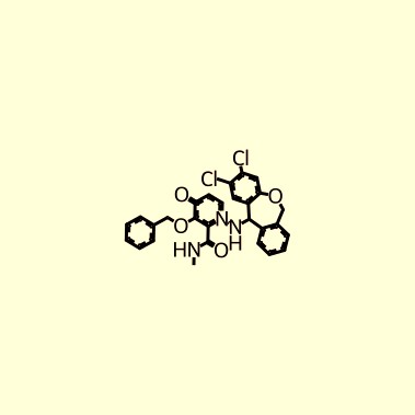 CNC(=O)c1c(OCc2ccccc2)c(=O)ccn1NC1c2ccccc2COc2cc(Cl)c(Cl)cc21